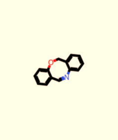 C1=Nc2ccccc2COc2ccccc21